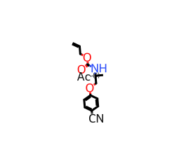 C=CCOC(=O)N[C@@](C)(COc1ccc(C#N)cc1)C(C)=O